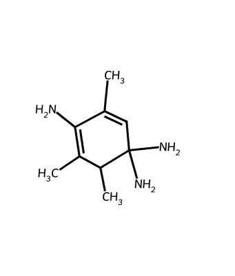 CC1=CC(N)(N)C(C)C(C)=C1N